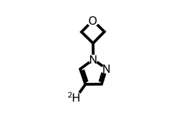 [2H]c1cnn(C2COC2)c1